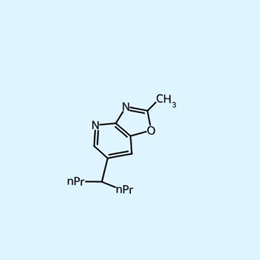 CCCC(CCC)c1cnc2nc(C)oc2c1